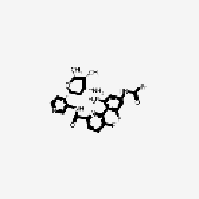 CC(C)C(=O)Nc1cc(F)c(-c2nc(C(=O)Nc3cnccc3[C@H]3C[C@@H](N)[C@@H](C)[C@@H](C)O3)ccc2F)c(P)c1